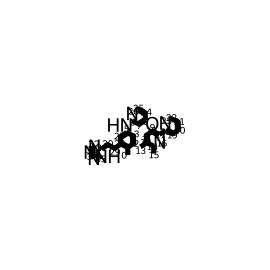 Cc1ccc(Nc2cc(Oc3cc(C)c(C)nc3-c3ccccn3)ccn2)cc1CCc1nnn[nH]1